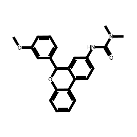 COc1cccc(C2Oc3ccccc3-c3ccc(NC(=O)N(C)C)cc32)c1